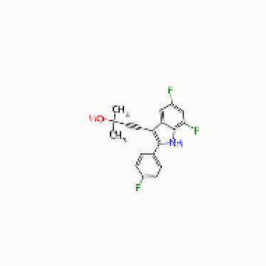 CC(C)(O)C#Cc1c(-c2ccc(F)cc2)[nH]c2c(F)cc(F)cc12